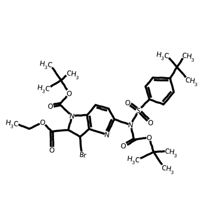 CCOC(=O)C1C(Br)c2nc(N(C(=O)OC(C)(C)C)S(=O)(=O)c3ccc(C(C)(C)C)cc3)ccc2N1C(=O)OC(C)(C)C